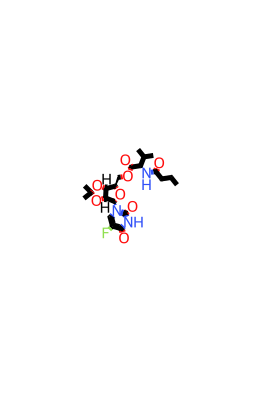 CCCC(=O)N[C@H](C(=O)OC[C@H]1O[C@@H](n2cc(F)c(=O)[nH]c2=O)[C@@H]2OC(C)(C)O[C@@H]21)C(C)C